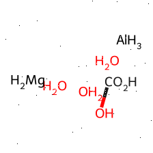 O.O.O.O=C(O)O.[AlH3].[MgH2]